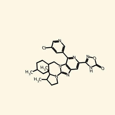 CC1CCC(Cn2c(N3CCC(C)C3C)nc3cc(-c4noc(=O)[nH]4)nc(-c4cncc(Cl)c4)c32)CC1